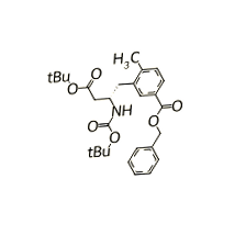 Cc1ccc(C(=O)OCc2ccccc2)cc1C[C@@H](CC(=O)OC(C)(C)C)NC(=O)OC(C)(C)C